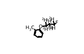 [2H]C([2H])(F)C([2H])([2H])C([2H])([2H])Oc1ccccc1C